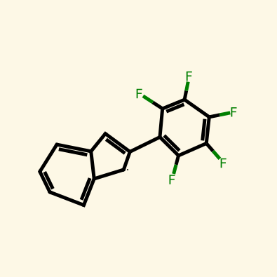 Fc1c(F)c(F)c(C2=Cc3ccccc3[CH]2)c(F)c1F